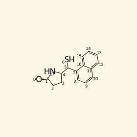 O=C1CCC(C(S)c2cccc3ccccc23)N1